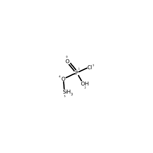 O=P(O)(Cl)O[SiH3]